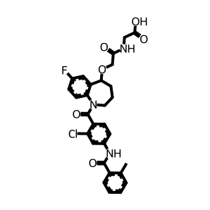 Cc1ccccc1C(=O)Nc1ccc(C(=O)N2CCCC(OCC(=O)NCC(=O)O)c3cc(F)ccc32)c(Cl)c1